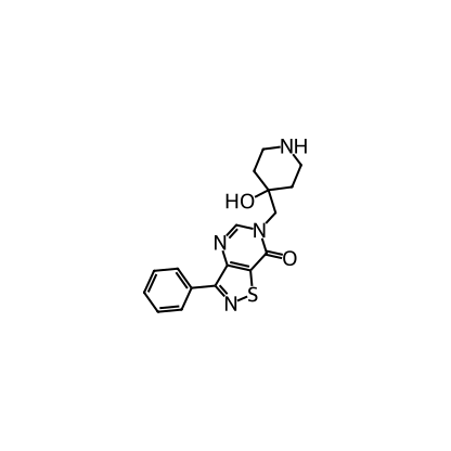 O=c1c2snc(-c3ccccc3)c2ncn1CC1(O)CCNCC1